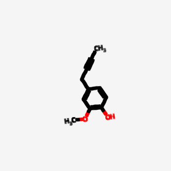 CC#CCc1ccc(O)c(OC)c1